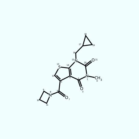 Cn1c(=O)c2c(C(=O)N3CCC3)csc2n(CC2CC2)c1=O